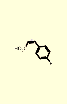 O=C(O)/C=C\c1ccc(F)cc1